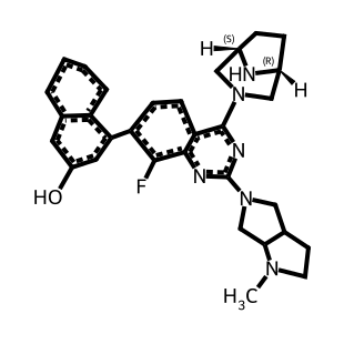 CN1CCC2CN(c3nc(N4C[C@H]5CC[C@@H](C4)N5)c4ccc(-c5cc(O)cc6ccccc56)c(F)c4n3)CC21